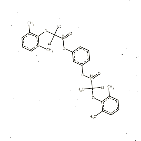 CCC(C)(Oc1c(C)cccc1C)[PH](=O)Oc1cccc(O[PH](=O)C(CC)(CC)Oc2c(C)cccc2C)c1